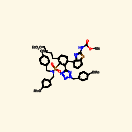 CCOC(=O)CCCCc1ccc(-c2cccc3sc(NC(=O)OC(C)(C)C)nc23)c(-c2nnn(Cc3ccc(OC)cc3)n2)c1S(=O)(=O)N(Cc1ccc(OC)cc1)Cc1ccc(OC)cc1